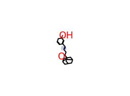 O=C(C/C=C/C1=CC(O)CC=C1)C12CC3CC(CC(C3)C1)C2